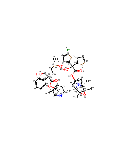 C[N+]1(C)[C@@H]2C[C@@H](OC(=O)C(O)(c3cccs3)c3cccs3)C[C@H]1[C@@H]1O[C@@H]12.C[S@@+]([O-])CC[C@](CO)(C(=O)O[C@H]1CN2CCC1CC2)c1ccccc1.[Br-]